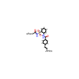 CCCCCCC=Cc1ccc(C(=O)Nc2ccccc2S(=O)(=O)NC(=O)CCCCC)cc1